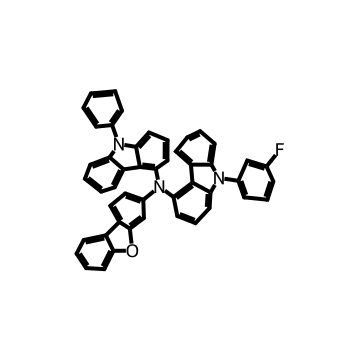 Fc1cccc(-n2c3ccccc3c3c(N(c4ccc5c(c4)oc4ccccc45)c4cccc5c4c4ccccc4n5-c4ccccc4)cccc32)c1